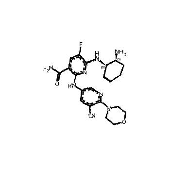 N#Cc1cc(Nc2nc(N[C@@H]3CCCC[C@@H]3N)c(F)cc2C(N)=O)cnc1N1CCOCC1